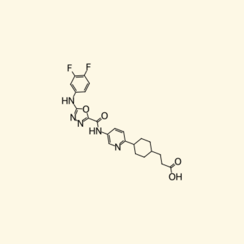 O=C(O)CCC1CCC(c2ccc(NC(=O)c3nnc(Nc4ccc(F)c(F)c4)o3)cn2)CC1